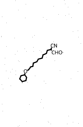 N#CC([C]=O)CCCCCCCCCCOC1CC[CH]CC1